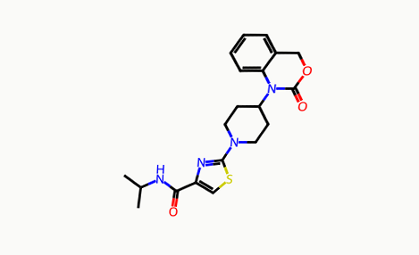 CC(C)NC(=O)c1csc(N2CCC(N3C(=O)OCc4ccccc43)CC2)n1